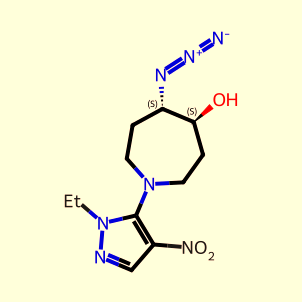 CCn1ncc([N+](=O)[O-])c1N1CC[C@H](N=[N+]=[N-])[C@@H](O)CC1